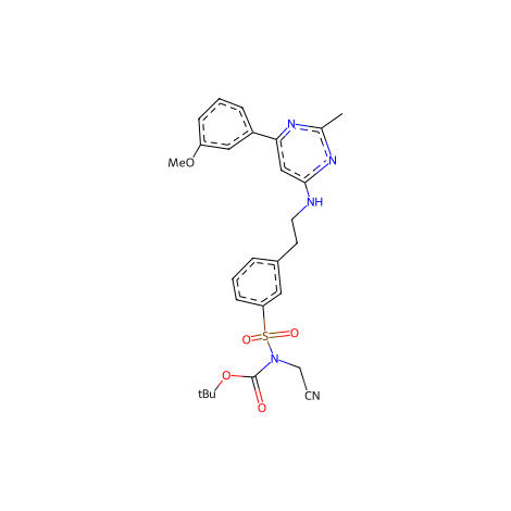 COc1cccc(-c2cc(NCCc3cccc(S(=O)(=O)N(CC#N)C(=O)OC(C)(C)C)c3)nc(C)n2)c1